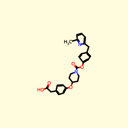 Cc1cccc(Cc2ccc(OC(=O)N3CCC(Oc4ccc(CC(=O)O)cc4)CC3)cc2)n1